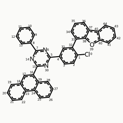 Clc1ccc(-c2nc(-c3ccccc3)nc(-c3cc4ccccc4c4ccccc34)n2)cc1-c1cccc2c1oc1ccccc12